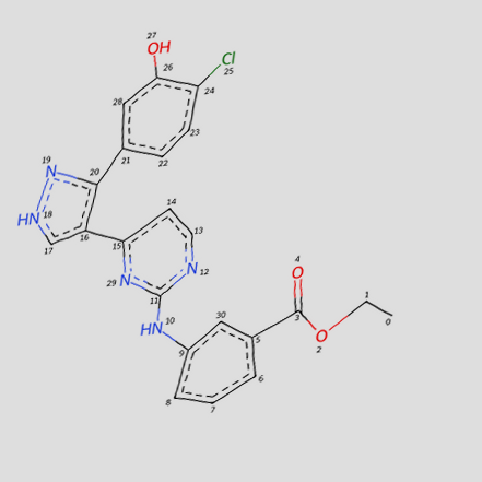 CCOC(=O)c1cccc(Nc2nccc(-c3c[nH]nc3-c3ccc(Cl)c(O)c3)n2)c1